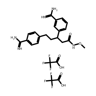 CONC(=O)CC(CCc1ccc(C(=N)N)cc1)c1cccc(C(=N)N)c1.O=C(O)C(F)(F)F.O=C(O)C(F)(F)F